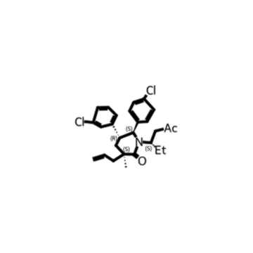 C=CC[C@@]1(C)C[C@H](c2cccc(Cl)c2)[C@@H](c2ccc(Cl)cc2)N([C@@H](CC)CC(C)=O)C1=O